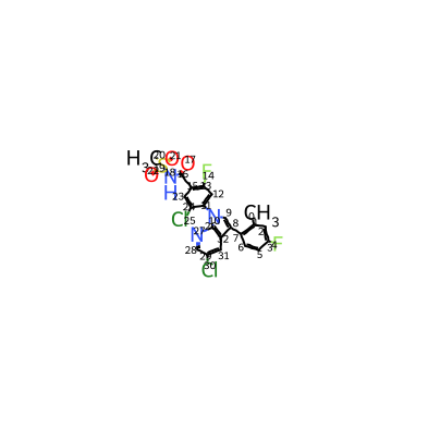 Cc1cc(F)ccc1-c1cn(-c2cc(F)c(C(=O)NS(C)(=O)=O)cc2Cl)c2ncc(Cl)cc12